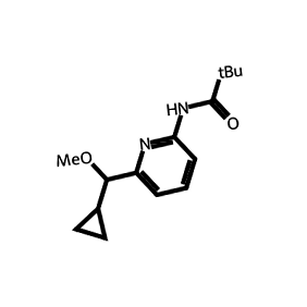 COC(c1cccc(NC(=O)C(C)(C)C)n1)C1CC1